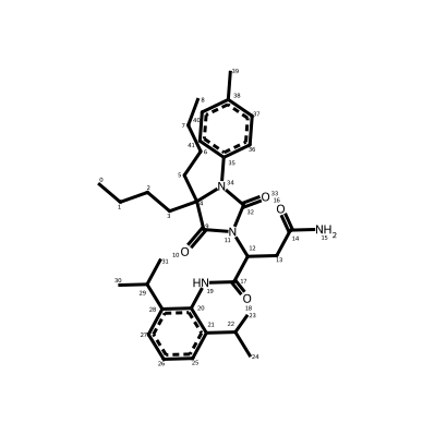 CCCCC1(CCCC)C(=O)N(C(CC(N)=O)C(=O)Nc2c(C(C)C)cccc2C(C)C)C(=O)N1c1ccc(C)cc1